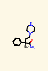 CC(=O)OC(CCN1CCNCC1)(C(N)=O)c1ccccc1